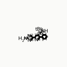 CC(C)(C)N[S+]([O-])c1ccccc1-c1ccc(-c2cnc(N)nc2)nc1